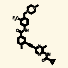 Cc1ccc(C(=O)Nc2ccc(CN3CCN(C)CC3)c(C(F)(F)F)c2)cc1C#Cc1cnc(NC(=O)C2CC2)c(C)n1